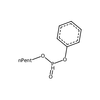 CCCCCO[PH](=O)Oc1ccccc1